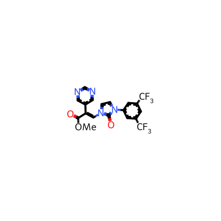 COC(=O)/C(=C/n1ccn(-c2cc(C(F)(F)F)cc(C(F)(F)F)c2)c1=O)c1cncnc1